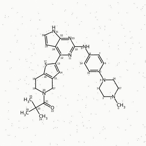 CN1CCN(c2ccc(Nc3nc(-c4cc5c(s4)CCN(C(=O)C(C)(C)C)C5)c4cc[nH]c4n3)cc2)CC1